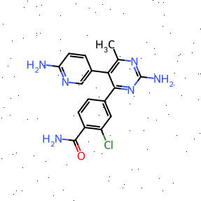 Cc1nc(N)nc(-c2ccc(C(N)=O)c(Cl)c2)c1-c1ccc(N)nc1